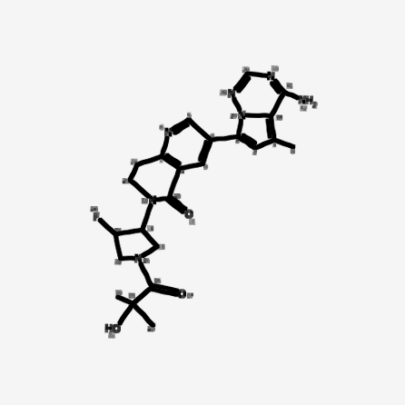 Cc1cc(-c2cnc3c(c2)C(=O)N(C2CN(C(=O)C(C)(C)O)CC2F)CC3)n2ncnc(N)c12